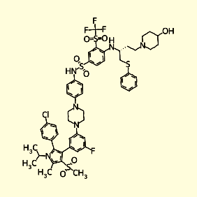 Cc1c(S(C)(=O)=O)c(-c2cc(F)cc(N3CCN(c4ccc(NS(=O)(=O)c5ccc(N[C@H](CCN6CCC(O)CC6)CSc6ccccc6)c(S(=O)(=O)C(F)(F)F)c5)cc4)CC3)c2)c(-c2ccc(Cl)cc2)n1C(C)C